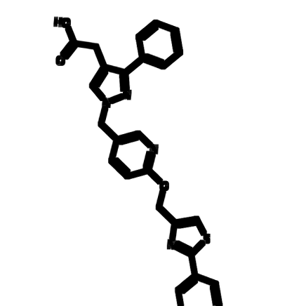 O=C(O)Cc1cn(Cc2ccc(OCc3csc(-c4ccccc4)n3)nc2)nc1-c1ccccc1